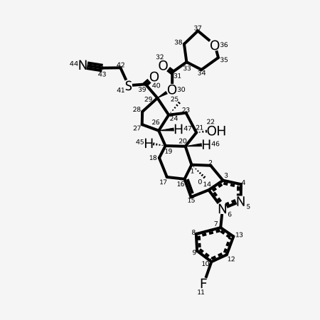 C[C@]12Cc3cnn(-c4ccc(F)cc4)c3C=C1CC[C@@H]1[C@@H]2[C@@H](O)C[C@@]2(C)[C@H]1CC[C@]2(OC(=O)C1CCOCC1)C(=O)SCC#N